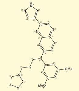 COc1cc(OC)cc(N(CCCN2CCCC2)c2ccc3ncc(-c4cn[nH]c4)nc3c2)c1